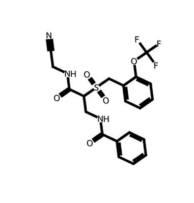 N#CCNC(=O)C(CNC(=O)c1ccccc1)S(=O)(=O)Cc1ccccc1OC(F)(F)F